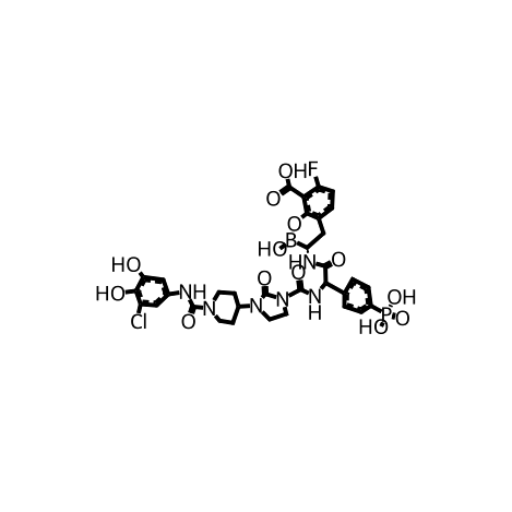 O=C(O)c1c(F)ccc2c1OB(O)[C@@H](NC(=O)C(NC(=O)N1CCN(C3CCN(C(=O)Nc4cc(O)c(O)c(Cl)c4)CC3)C1=O)c1ccc(P(=O)(O)O)cc1)C2